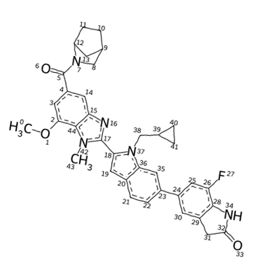 COc1cc(C(=O)N2CC3CCC2C3)cc2nc(-c3cc4ccc(-c5cc(F)c6c(c5)CC(=O)N6)cc4n3CC3CC3)n(C)c12